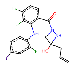 C=CCC1(O)CN(C(=O)c2ccc(F)c(F)c2Nc2ccc(I)cc2F)N1